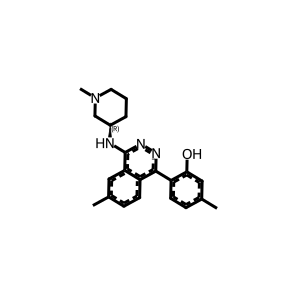 Cc1ccc(-c2nnc(N[C@@H]3CCCN(C)C3)c3cc(C)ccc23)c(O)c1